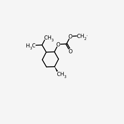 [CH2]OC(=O)OC1C[C@@H](C)CCC1C(C)C